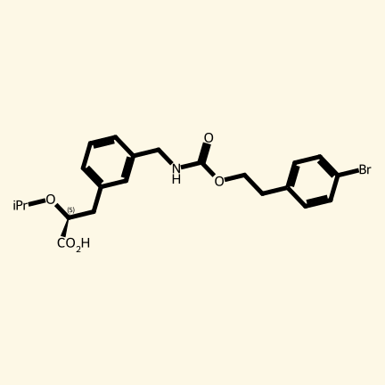 CC(C)O[C@@H](Cc1cccc(CNC(=O)OCCc2ccc(Br)cc2)c1)C(=O)O